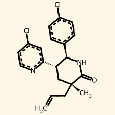 C=CC[C@]1(C)C[C@H](c2cc(Cl)ccn2)[C@@H](c2ccc(Cl)cc2)NC1=O